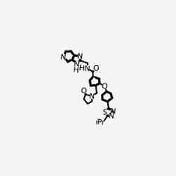 CC(C)c1nnc(-c2ccc(Oc3cc(C(=O)NCc4nc5ccncc5[nH]4)ccc3CN3CCCC3=O)cc2)s1